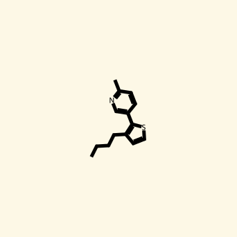 CCCCc1ccsc1-c1ccc(C)nc1